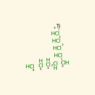 Cl.Cl.Cl.Cl.Cl.Cl.Cl.Cl.Cl.[Ti]